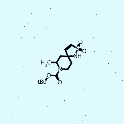 CC1CC2(C=CS(=O)(=O)N2)CCN1C(=O)OC(C)(C)C